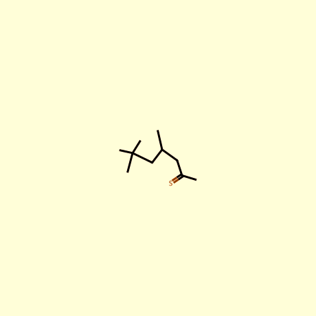 CC(=S)CC(C)CC(C)(C)C